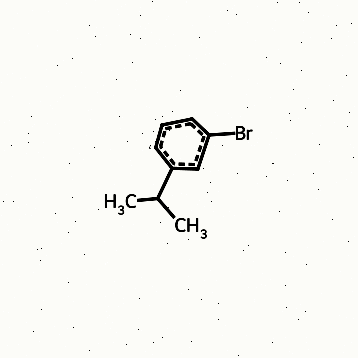 CC(C)c1[c]ccc(Br)c1